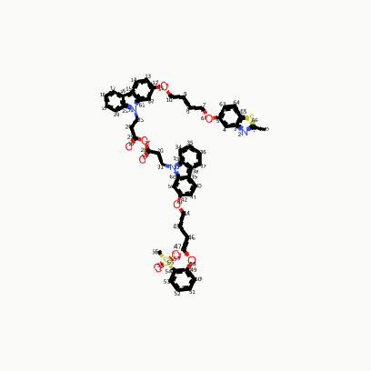 Cc1nc2cc(OCCCCOc3ccc4c5ccccc5n(CCC(=O)OC(=O)CCn5c6ccccc6c6ccc(OCCCCOc7ccccc7S(C)(=O)=O)cc65)c4c3)ccc2s1